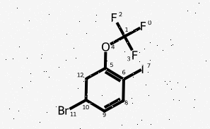 FC(F)(F)OC1=C(I)C=CC(Br)C1